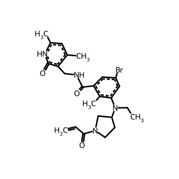 C=CC(=O)N1CCC(N(CC)c2cc(Br)cc(C(=O)NCc3c(C)cc(C)[nH]c3=O)c2C)C1